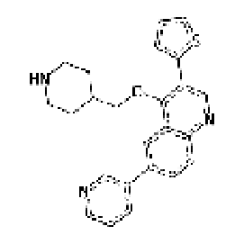 c1cncc(-c2ccc3ncc(-c4cccs4)c(OCC4CCNCC4)c3c2)c1